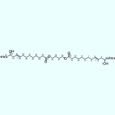 CCCCCCC(O)C/C=C/CCCCCCCC(=O)OCCCCOC(=O)CCCCCCC/C=C/CC(O)CCCCCC